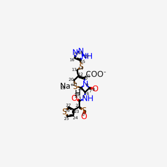 O=S=C(C(=O)NC1C(=O)N2C(C(=O)[O-])=C(CSc3cnn[nH]3)CS[C@H]12)c1ccsc1.[Na+]